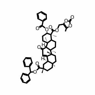 Cc1oc(=O)oc1COC(=O)[C@@]1(C)C2CC[C@]3(C)[C@H](C(=O)C=C4[C@@H]5C[C@@](C)(C(=O)OC(c6ccccc6)c6ccccc6)CC[C@]5(C)CC[C@]43C)[C@@]2(C)CC[C@@H]1OC(=O)c1ccccc1